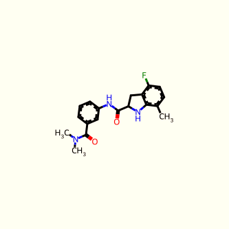 Cc1ccc(F)c2c1NC(C(=O)Nc1cccc(C(=O)N(C)C)c1)C2